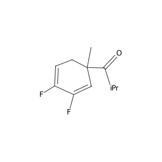 CC(C)C(=O)C1(C)C=C(F)C(F)=CC1